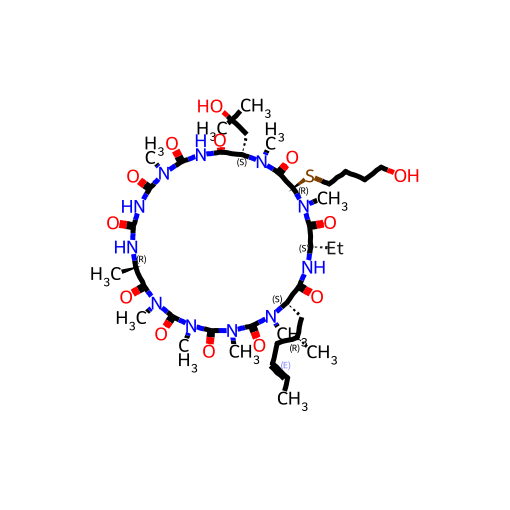 C/C=C/C[C@@H](C)C[C@H]1C(=O)N[C@@H](CC)C(=O)N(C)[C@H](SCCCCO)C(=O)N(C)[C@@H](CC(C)(C)O)C(=O)NC(=O)N(C)C(=O)NC(=O)N[C@H](C)C(=O)N(C)C(=O)N(C)C(=O)N(C)C(=O)N1C